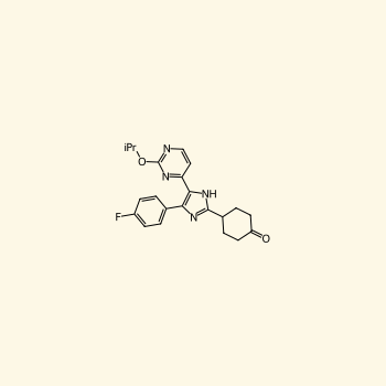 CC(C)Oc1nccc(-c2[nH]c(C3CCC(=O)CC3)nc2-c2ccc(F)cc2)n1